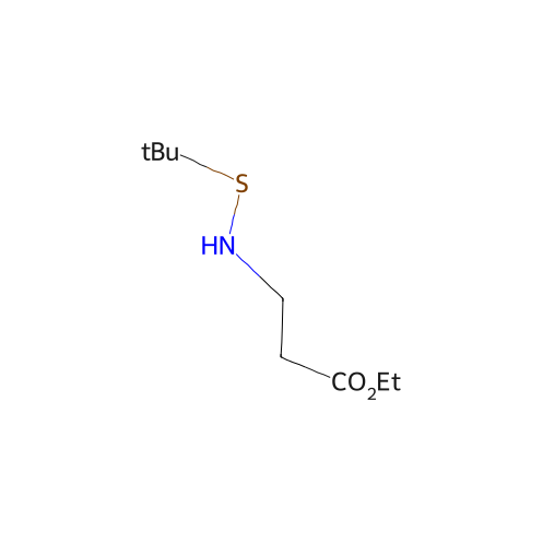 CCOC(=O)CCNSC(C)(C)C